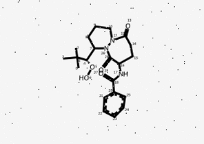 CC(C)(C)[C@@H](OO)C1CCCN2C(=O)CCC(NC(=O)c3ccccc3)C(=O)N12